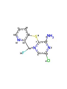 Nc1nc(Cl)cnc1Sc1cccnc1CF